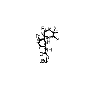 CC(C)(C)OC(=O)Nc1ccc(F)c([C@@]2(C)NC(=S)[C@@](C)(F)C[C@@H]2F)c1